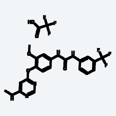 CNc1cc(Oc2ccc(NC(=O)Nc3cccc(C(F)(F)F)c3)cc2OC)ncn1.O=C(O)C(F)(F)F